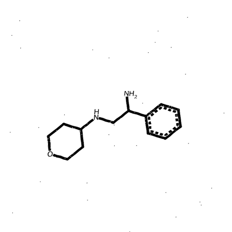 NC(CNC1CCOCC1)c1ccccc1